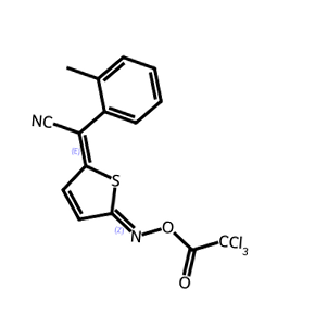 Cc1ccccc1/C(C#N)=C1C=C/C(=N/OC(=O)C(Cl)(Cl)Cl)S/1